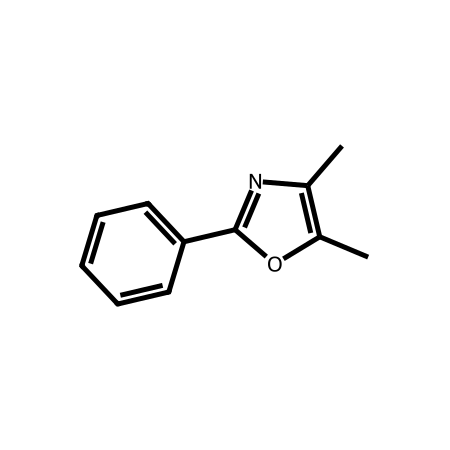 Cc1nc(-c2ccccc2)oc1C